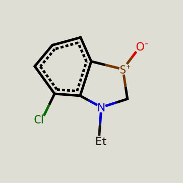 CCN1C[S+]([O-])c2cccc(Cl)c21